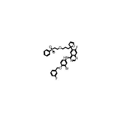 O=S(=O)(CCOCCCC1(c2cc3c(Nc4ccc(OCc5cccc(F)c5)c(Br)c4)ncnc3cc2F)CC=CO1)c1ccccc1